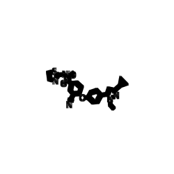 CCn1nc(C2CC2)cc1-c1ccc(Oc2ccc(S(=O)(=O)Nc3nccs3)cc2C#N)cc1